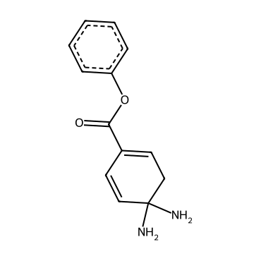 NC1(N)C=CC(C(=O)Oc2ccccc2)=CC1